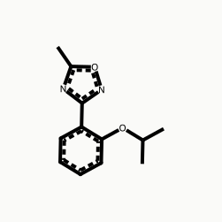 Cc1nc(-c2ccccc2OC(C)C)no1